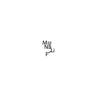 [Li][F].[Mg].[Na]